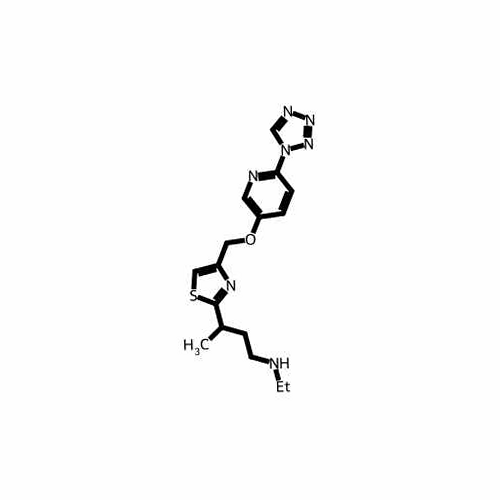 CCNCCC(C)c1nc(COc2ccc(-n3cnnn3)nc2)cs1